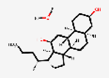 CCOCC.C[C@H](CCC(=O)O)[C@H]1CC[C@H]2[C@@H]3CC[C@@H]4C[C@H](O)CC[C@]4(C)[C@H]3C[C@H](O)[C@]12C